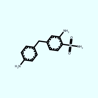 Nc1ccc(Cc2ccc(S(N)(=O)=O)c(N)c2)cc1